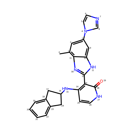 Cc1cc(-n2ccnc2)cc2[nH]c(-c3c(NC4Cc5ccccc5C4)cc[nH]c3=O)nc12